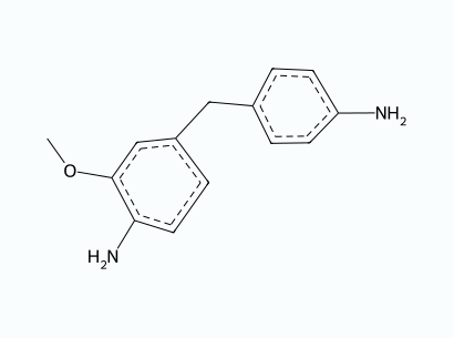 COc1cc(Cc2ccc(N)cc2)ccc1N